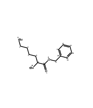 CC(C)(C)CCCCC(C(=O)OCc1ccccn1)C(C)(C)C